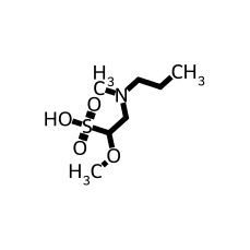 CCCN(C)CC(OC)S(=O)(=O)O